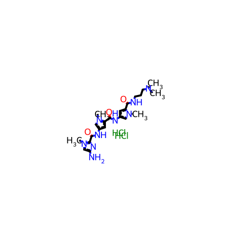 CN(C)CCCNC(=O)c1cc(NC(=O)c2cc(NC(=O)c3nc(N)cn3C)cn2C)cn1C.Cl.Cl